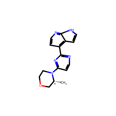 C[C@@H]1COCCN1c1ccnc(-c2ccnc3[nH]ccc23)n1